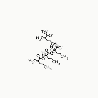 C=C(CCC)C(=O)[O-].C=C(CCC)C(=O)[O-].C=C(CCC)C(=O)[O-].C=C(CCC)C(=O)[O-].[Ti+4]